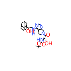 CC(C)(C)OC(=O)N[C@@H](CO)C(=O)N1CCc2c(ncnc2NCC(O)C23CC4CC(CC(C4)C2)C3)C1